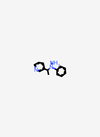 CC(c1cccnc1)N(N)c1ccccc1